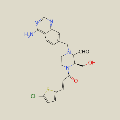 Nc1ncnc2cc(CN3CCN(C(=O)C=Cc4ccc(Cl)s4)[C@H](CO)C3C=O)ccc12